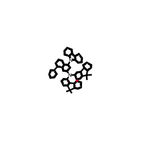 CC1(C)c2ccccc2-c2cc(N(c3cc(-n4c5ccccc5c5ccccc54)c4cccc(-c5ccccc5)c4c3)c3cccc4c3-c3ccccc3C4(C)C)ccc21